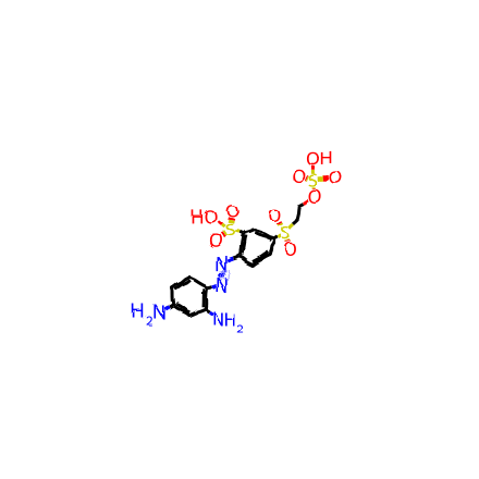 Nc1ccc(/N=N/c2ccc(S(=O)(=O)CCOS(=O)(=O)O)cc2S(=O)(=O)O)c(N)c1